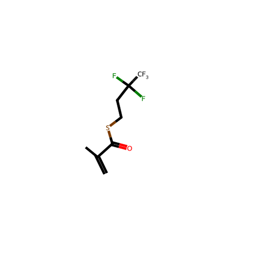 C=C(C)C(=O)SCCC(F)(F)C(F)(F)F